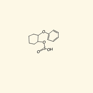 O=S(O)OC1CCCCC1Oc1ccccc1